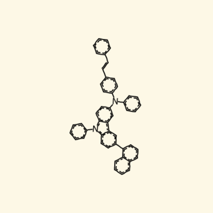 C(=C\c1ccc(N(c2ccccc2)c2ccc3c(c2)c2cc(-c4cccc5ccccc45)ccc2n3-c2ccccc2)cc1)/c1ccccc1